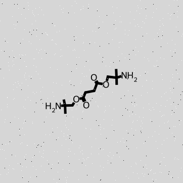 CC(C)(N)COC(=O)CCC(=O)OCC(C)(C)N